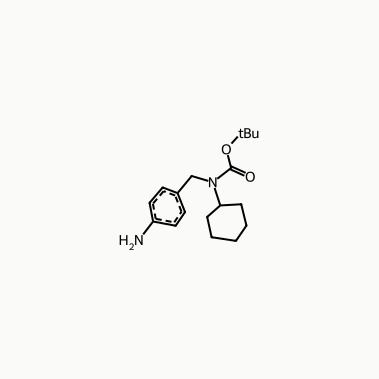 CC(C)(C)OC(=O)N(Cc1ccc(N)cc1)C1CCCCC1